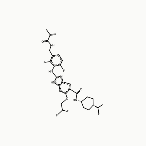 C=C(C)C(=O)NCc1ccc(F)c(Nc2nc3cc(C(=O)N[C@H]4CC[C@H](C(F)F)CC4)c(OCC(F)F)nc3[nH]2)c1F